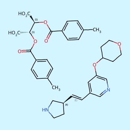 C(=C\[C@H]1CCNC1)/c1cncc(OC2CCOCC2)c1.Cc1ccc(C(=O)O[C@H](C(=O)O)[C@H](OC(=O)c2ccc(C)cc2)C(=O)O)cc1